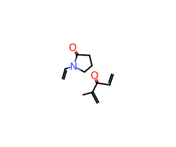 C=CC(=O)C(=C)C.C=CN1CCCC1=O